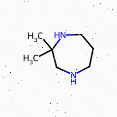 CC1(C)CNCCCN1